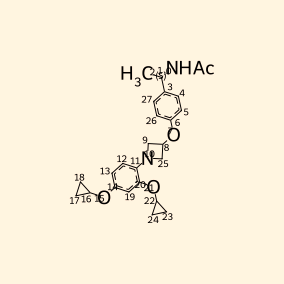 CC(=O)N[C@@H](C)c1ccc(OC2CN(c3ccc(OC4CC4)cc3OC3CC3)C2)cc1